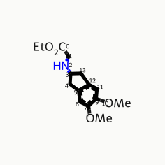 CCOC(=O)CNC1Cc2cc(OC)c(OC)cc2C1